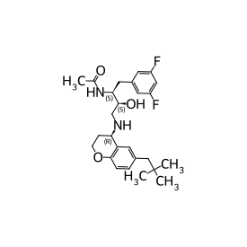 CC(=O)N[C@@H](Cc1cc(F)cc(F)c1)[C@@H](O)CN[C@@H]1CCOc2ccc(CC(C)(C)C)cc21